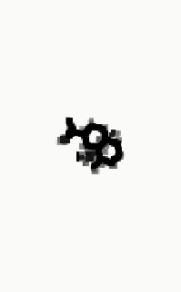 CC(=O)C1CC[C@@]2(C)CCC[C@@H](C)[C@@]2(N)C1